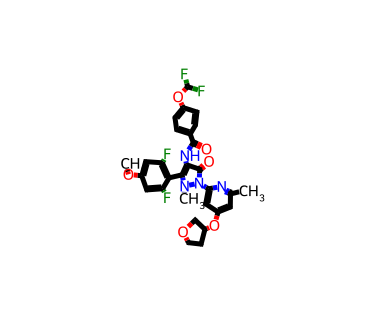 COc1cc(F)c(-c2c(NC(=O)c3ccc(OC(F)F)cc3)c(=O)n(-c3cc(OC4CCOC4)cc(C)n3)n2C)c(F)c1